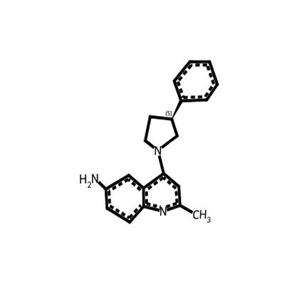 Cc1cc(N2CC[C@@H](c3ccccc3)C2)c2cc(N)ccc2n1